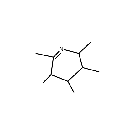 CC1=NC(C)C(C)C(C)C1C